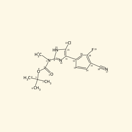 CN(C(=O)OC(C)(C)C)c1nc(-c2ccc(C#N)c(F)c2)c(Cl)[nH]1